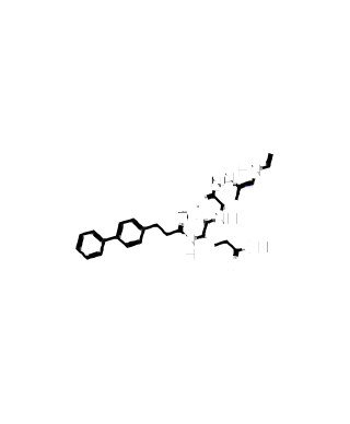 C=CN/C=C(\N)C[C@H](N[C@@H](O)[C@H](CCC(=O)O)NC(=O)CCc1ccc(-c2ccccc2)cc1)C(N)=O